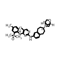 Cc1ccc(Nc2nc(Nc3ccc4c(c3)CC[C@@H](N3C[C@H]5C[C@@H]3CO5)CC4)ncc2Cl)c(P(C)(C)=O)c1